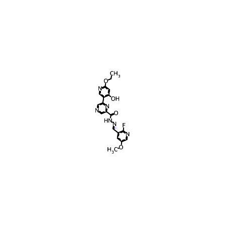 CCOc1cc(O)c(-c2cncc(C(=O)N/N=C/c3cc(OC)cnc3F)n2)cn1